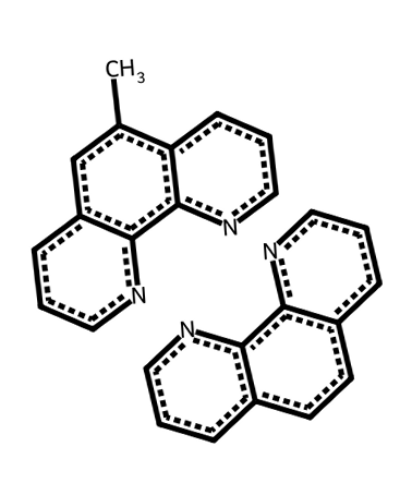 Cc1cc2cccnc2c2ncccc12.c1cnc2c(c1)ccc1cccnc12